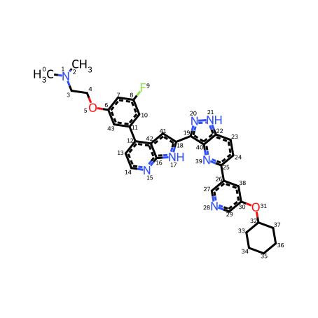 CN(C)CCOc1cc(F)cc(-c2ccnc3[nH]c(-c4n[nH]c5ccc(-c6cncc(OC7CCCCC7)c6)nc45)cc23)c1